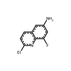 CCc1ccc2cc(N)cc(F)c2n1